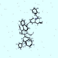 C=CCC(CC(C=C)c1ccc(C(C=C)NC(CCC)C2=NC34CC3C=CC=C4C(c3ccccc3)C2)c2ncccc12)/N=C(\C)c1ccccn1